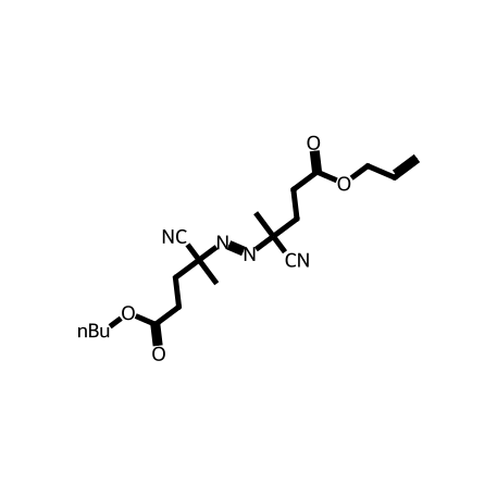 C=CCOC(=O)CCC(C)(C#N)N=NC(C)(C#N)CCC(=O)OCCCC